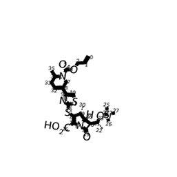 C=CCOC(=O)N1CC(c2csc(SC3=C(C(=O)O)N4C(=O)[C@H]([C@@H](C)O[Si](C)(C)C)[C@H]4[C@H]3C)n2)=CCC1C